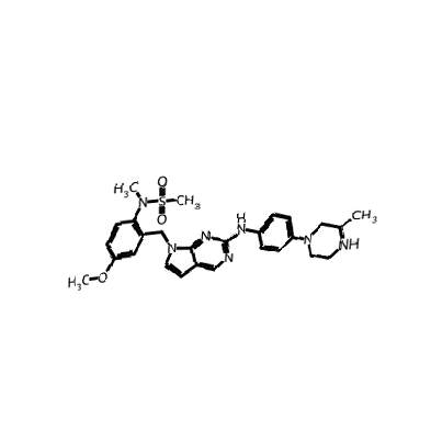 COc1ccc(N(C)S(C)(=O)=O)c(Cn2ccc3cnc(Nc4ccc(N5CCN[C@H](C)C5)cc4)nc32)c1